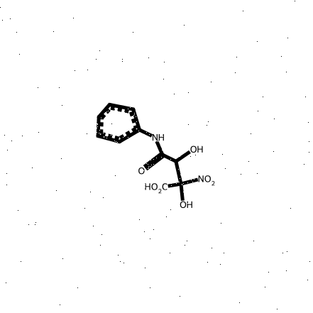 O=C(Nc1ccccc1)C(O)C(O)(C(=O)O)[N+](=O)[O-]